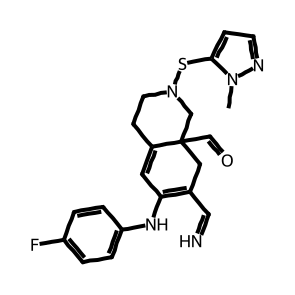 Cn1nccc1SN1CCC2=CC(Nc3ccc(F)cc3)=C(C=N)CC2(C=O)C1